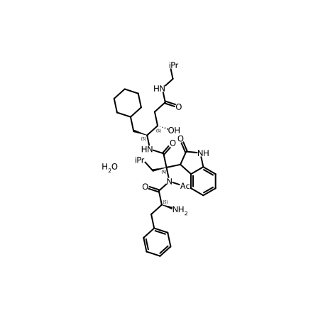 CC(=O)N(C(=O)[C@@H](N)Cc1ccccc1)[C@](CC(C)C)(C(=O)N[C@@H](CC1CCCCC1)[C@@H](O)CC(=O)NCC(C)C)C1C(=O)Nc2ccccc21.O